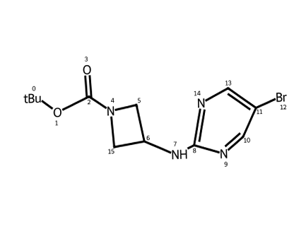 CC(C)(C)OC(=O)N1CC(Nc2ncc(Br)cn2)C1